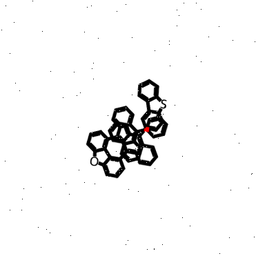 C1=CCC(c2c3ccccc3c(-c3cccc4oc5cccc(-c6c7ccccc7c(-c7ccc8sc9ccccc9c8c7)c7ccccc67)c5c34)c3ccccc23)C=C1